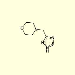 c1nc(CN2CCOCC2)n[nH]1